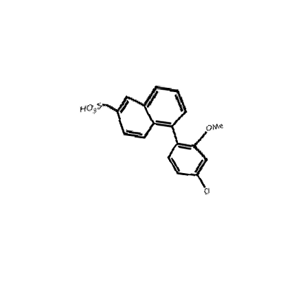 COc1cc(Cl)ccc1-c1cccc2cc(S(=O)(=O)O)ccc12